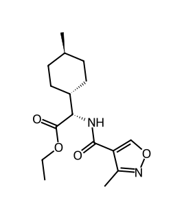 CCOC(=O)[C@@H](NC(=O)c1conc1C)[C@H]1CC[C@H](C)CC1